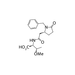 CO[C@H](C)[C@H](NC(=O)C[C@@H]1CCC(=O)N1Cc1ccccc1)C(=O)O